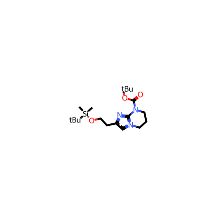 CC(C)(C)OC(=O)N1CCCn2cc(CCO[Si](C)(C)C(C)(C)C)nc21